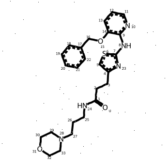 O=C(CCc1csc(Nc2ncccc2OCc2ccccc2)n1)NCCCN1CCOCC1